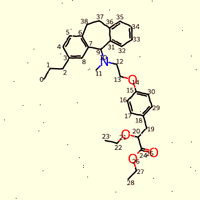 CCCc1ccc2c(c1)C(N(C)CCOc1ccc(CC(OCC)C(=O)OCC)cc1)c1ccccc1CC2